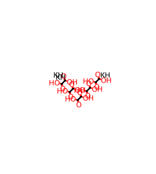 O=C(O)C(=O)O.O=C(O)C(=O)O.O=C(O)C(=O)O.O=C(O)C(=O)O.O=C(O)C(=O)O.[KH].[KH].[KH]